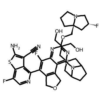 N#Cc1c(N)sc2c(F)cnc(-c3c4c(c5c(N6C7CCC6CN(CC(CO)CO)C7)nc(OC[C@@]67CCCN6C[C@H](F)C7)nc5c3F)COC4)c12